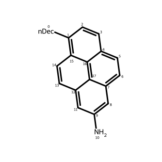 CCCCCCCCCCc1ccc2ccc3cc(N)cc4ccc1c2c34